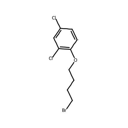 Clc1c[c]c(OCCCCBr)c(Cl)c1